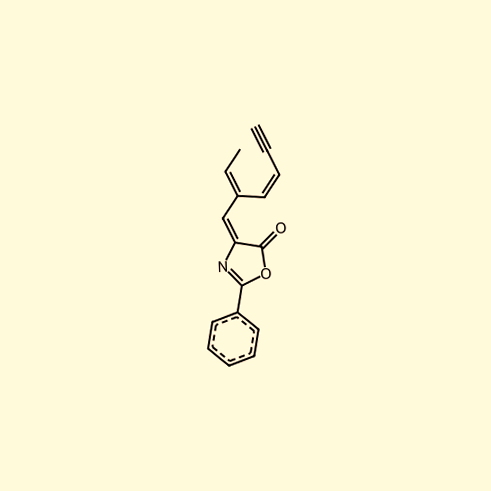 C#C\C=C/C(=C\C)/C=C1/N=C(c2ccccc2)OC1=O